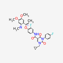 C=Nc1cc(OC)c(OC)cc1/C(=C\C)Oc1ccc(NC(=O)c2cn(CC3CC3)c(=O)n(-c3ccc(F)cc3)c2=O)cc1F